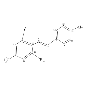 Cc1cc(F)c(/N=C/c2ccc(Cl)cc2)c(F)c1